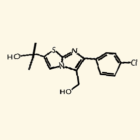 CC(C)(O)c1cn2c(CO)c(-c3ccc(Cl)cc3)nc2s1